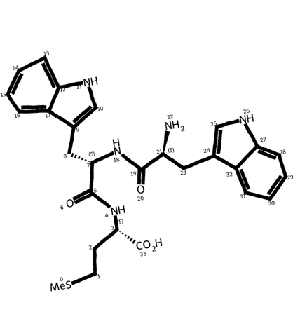 CSCC[C@H](NC(=O)[C@H](Cc1c[nH]c2ccccc12)NC(=O)[C@@H](N)Cc1c[nH]c2ccccc12)C(=O)O